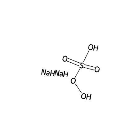 O=S(=O)(O)OO.[NaH].[NaH]